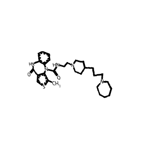 Cc1scc2c1N(C(=O)NCCN1CCC(CCCN3CCCCCC3)CC1)c1ccccc1NC2=O